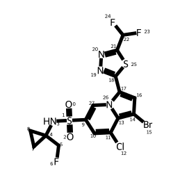 O=S(=O)(NC1(CF)CC1)c1cc(Cl)c2c(Br)cc(-c3nnc(C(F)F)s3)n2c1